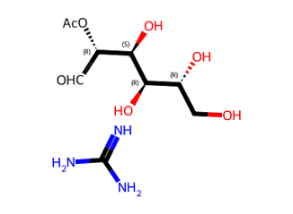 CC(=O)O[C@@H](C=O)[C@@H](O)[C@H](O)[C@H](O)CO.N=C(N)N